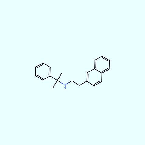 CC(C)(NCCc1ccc2ccccc2c1)c1ccccc1